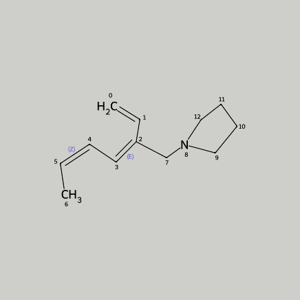 C=C/C(=C\C=C/C)CN1CCCC1